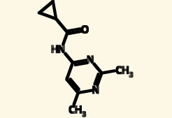 Cc1cc(NC(=O)C2CC2)nc(C)n1